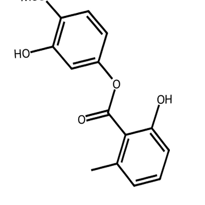 COc1ccc(OC(=O)c2c(C)cccc2O)cc1O